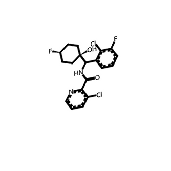 O=C(NC(c1cccc(F)c1Cl)[C@]1(O)CC[C@@H](F)CC1)c1ncccc1Cl